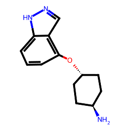 N[C@H]1CC[C@H](Oc2cccc3[nH]ncc23)CC1